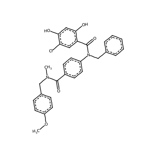 COc1ccc(CN(C)C(=O)c2ccc(N(Cc3ccccc3)C(=O)c3cc(Cl)c(O)cc3O)cc2)cc1